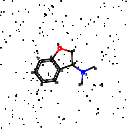 CN(C)C1[C]Oc2ccccc21